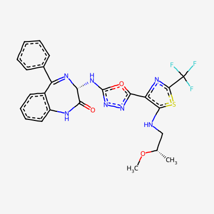 CO[C@@H](C)CNc1sc(C(F)(F)F)nc1-c1nnc(N[C@H]2N=C(c3ccccc3)c3ccccc3NC2=O)o1